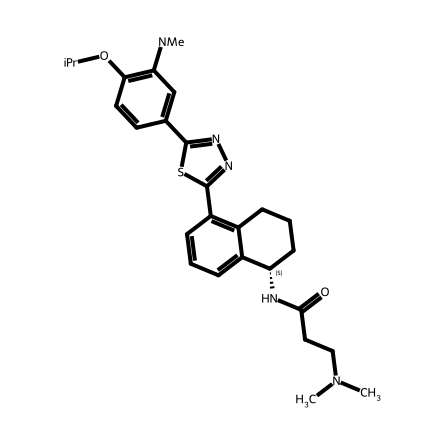 CNc1cc(-c2nnc(-c3cccc4c3CCC[C@@H]4NC(=O)CCN(C)C)s2)ccc1OC(C)C